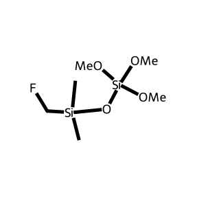 CO[Si](OC)(OC)O[Si](C)(C)CF